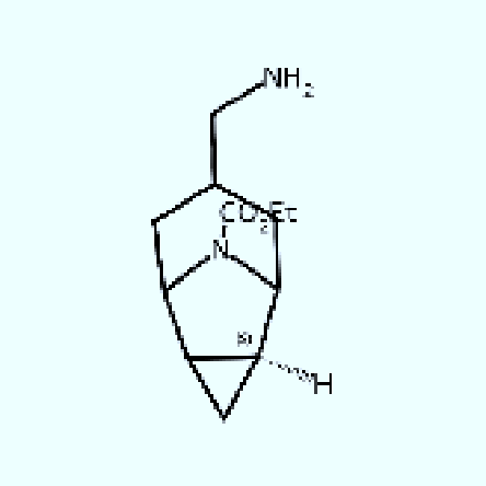 CCOC(=O)N1C2CC(CN)CC1[C@H]1CC21